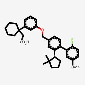 COc1ccc(F)c(-c2ccc(COc3cccc(C4(CC(=O)O)CCCCC4)c3)cc2[C@H]2CCCC2(C)C)c1